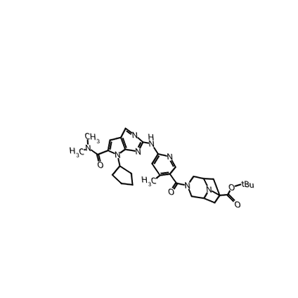 Cc1cc(Nc2ncc3cc(C(=O)N(C)C)n(C4CCCC4)c3n2)ncc1C(=O)N1CC2CC3(C(=O)OC(C)(C)C)CC(C1)N23